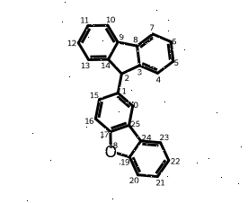 [c]1c(C2c3ccccc3-c3ccccc32)ccc2oc3ccccc3c12